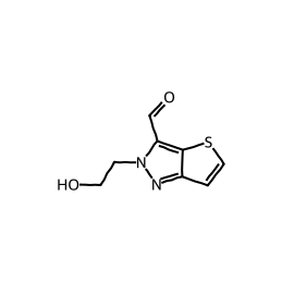 O=Cc1c2sccc2nn1CCO